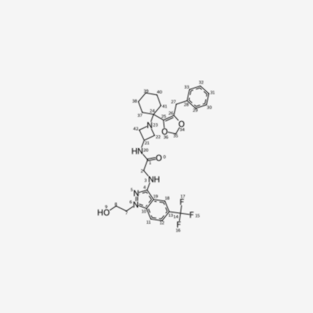 O=C(CNc1nn(CCO)c2ccc(C(F)(F)F)cc12)NC1CN(C2(C3=C(Cc4ccccc4)OCO3)CCCCC2)C1